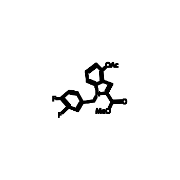 COC(=O)c1cc2c(OC(C)=O)cccc2n1Cc1ccc(F)c(F)c1